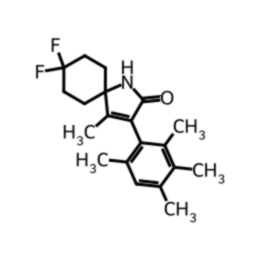 CC1=C(c2c(C)cc(C)c(C)c2C)C(=O)NC12CCC(F)(F)CC2